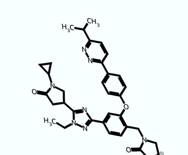 CCn1nc(-c2ccc(CN3C[C@@H](C)CC3=O)c(Oc3ccc(-c4ccc(C(C)C)nn4)cc3)c2)nc1C1CC(=O)N(C2CC2)C1